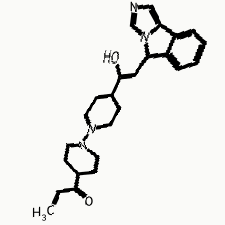 CCC(=O)C1CCN(N2CCC(C(O)CC3c4ccccc4-c4cncn43)CC2)CC1